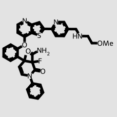 COCCNCc1ccc(-c2cc3nccc(Oc4ccccc4C4(C)C=CN(c5ccccc5)C(=O)C4(F)C(N)=O)c3s2)nc1